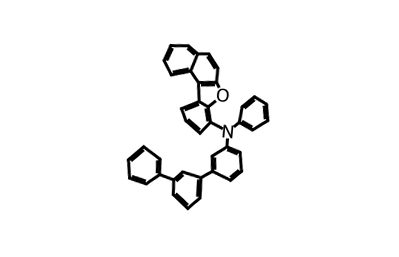 c1ccc(-c2cccc(-c3cccc(N(c4ccccc4)c4cccc5c4oc4ccc6ccccc6c45)c3)c2)cc1